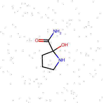 NC(=O)C1(O)CCCN1